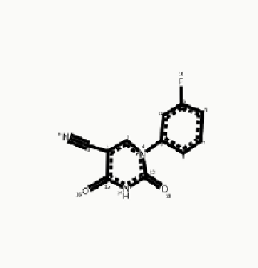 N#Cc1cn(-c2cccc(F)c2)c(=O)[nH]c1=O